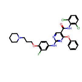 O=C(Nc1c(Cl)cccc1Cl)c1cnc(Nc2ccc(OCCCN3CCCCC3)c(F)c2)nc1Oc1ccccc1